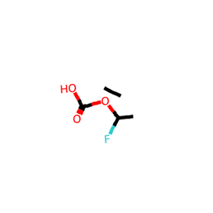 CC.CC(F)OC(=O)O